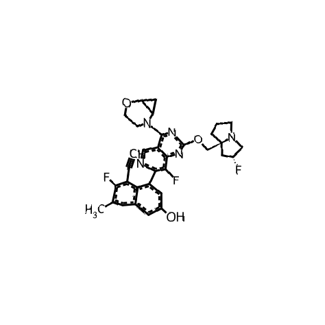 C#Cc1c(F)c(C)cc2cc(O)cc(-c3ncc4c(N5CCOC6CC65)nc(OC[C@@]56CCCN5C[C@H](F)C6)nc4c3F)c12